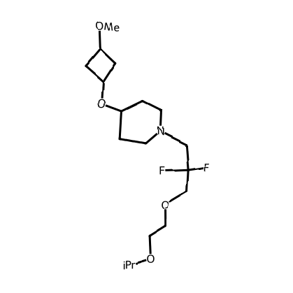 COC1CC(OC2CCN(CC(F)(F)COCCOC(C)C)CC2)C1